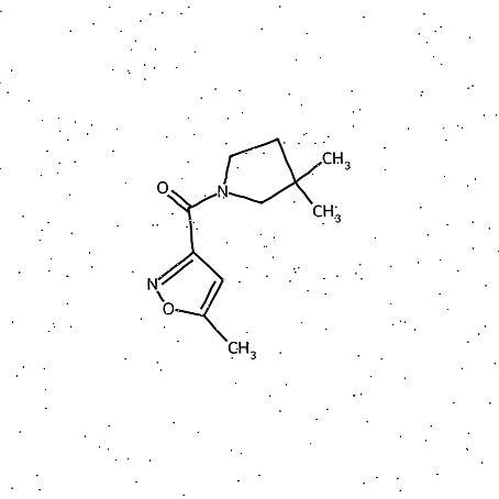 Cc1cc(C(=O)N2CCC(C)(C)C2)no1